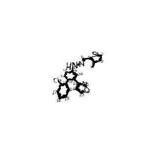 Cc1ccsc1C=NNc1ccc(-c2ccccc2Cl)c(-c2ccon2)c1